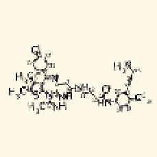 CC(=N)N1C(=N)[C@H](CC(=O)NCCCC(=O)Nc2ccc(C(F)(F)F)c(C#CCN)c2)N=C(c2ccc(Cl)cc2)c2c1sc(C)c2C